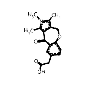 Cc1c2c(c(C)n1C)C(=O)c1cc(CC(=O)O)ccc1OC2